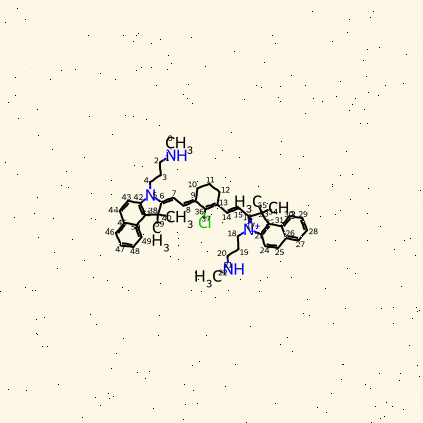 CNCCCN1/C(=C/C=C2\CCCC(/C=C/C3=[N+](CCCNC)c4ccc5ccccc5c4C3(C)C)=C2Cl)C(C)(C)c2c1ccc1ccccc21